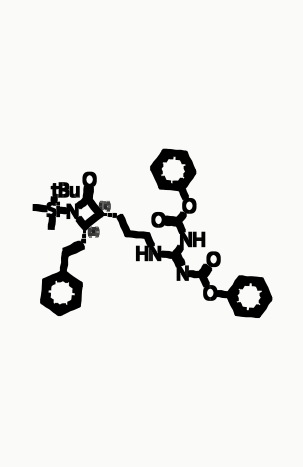 CC(C)(C)[Si](C)(C)N1C(=O)[C@H](CCCNC(=NC(=O)Oc2ccccc2)NC(=O)Oc2ccccc2)[C@@H]1C=Cc1ccccc1